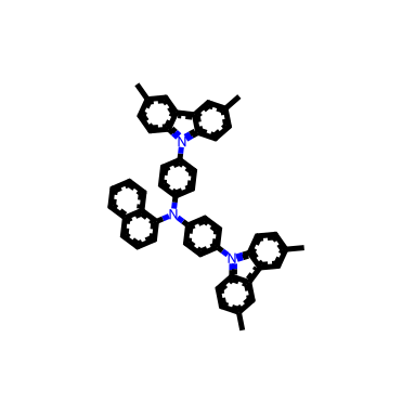 Cc1ccc2c(c1)c1cc(C)ccc1n2-c1ccc(N(c2ccc(-n3c4ccc(C)cc4c4cc(C)ccc43)cc2)c2cccc3ccccc23)cc1